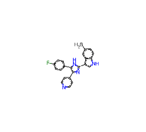 Bc1ccc2[nH]cc(-c3nc(-c4ccncc4)c(-c4ccc(F)cc4)[nH]3)c2c1